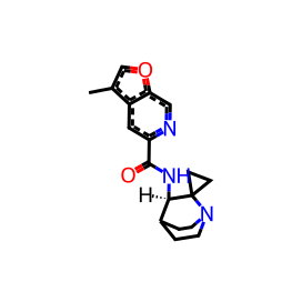 Cc1coc2cnc(C(=O)N[C@@H]3C4CCN(CC4)C34CC4)cc12